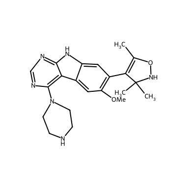 COc1cc2c(cc1C1=C(C)ONC1(C)C)[nH]c1ncnc(N3CCNCC3)c12